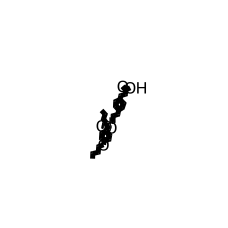 CCCCOc1ccc(S(=O)(=O)N(CCC)CCCc2ccc(CCC(=O)O)cc2)cc1